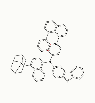 c1ccc(-c2cccc3cccc(-c4ccc(N(c5ccc6sc7ccccc7c6c5)c5ccc(C67CC8CC(CC(C8)C6)C7)c6ccccc56)cc4)c23)cc1